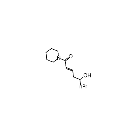 CCCC(O)CC=CC(=O)N1CCCCC1